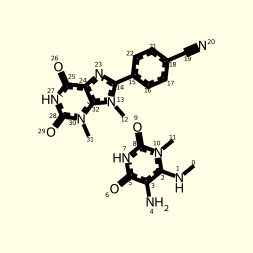 CNc1c(N)c(=O)[nH]c(=O)n1C.Cn1c(-c2ccc(C#N)cc2)nc2c(=O)[nH]c(=O)n(C)c21